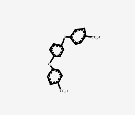 O=C(O)c1ccc(Oc2ccc(Oc3ccc(C(=O)O)cc3)cc2)cc1